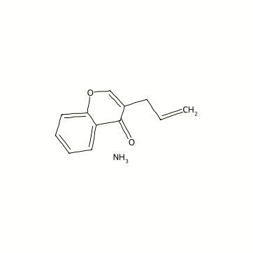 C=CCc1coc2ccccc2c1=O.N